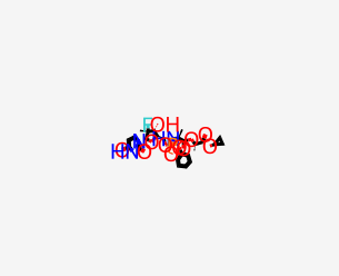 C[C@H](NP(=O)(OC[C@H]1O[C@@H](n2ccc(=O)[nH]c2=O)[C@](C)(F)[C@@H]1O)Oc1ccccc1)C(=O)O[C@@H](C)C(=O)OC1CC1